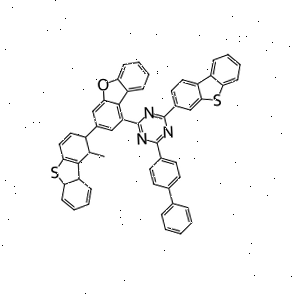 CC1C2=C(C=CC1c1cc(-c3nc(-c4ccc(-c5ccccc5)cc4)nc(-c4ccc5c(c4)sc4ccccc45)n3)c3c(c1)oc1ccccc13)SC1C=CC=CC21